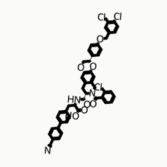 N#Cc1ccc(-c2ccc(CC(NC(=O)[C@@H]3Cc4cc5c(cc4CN3C(=O)c3ccccc3Cl)O[C@@H](c3ccc(OCc4ccc(Cl)c(Cl)c4)cc3)CO5)C(=O)O)cc2)cc1